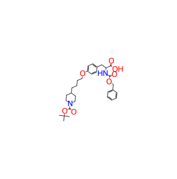 CC(C)(C)OC(=O)N1CCC(CCCCOc2ccc(CC(NC(=O)OCc3ccccc3)C(=O)O)cc2)CC1